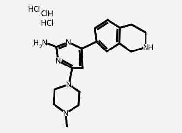 CN1CCN(c2cc(-c3ccc4c(c3)CNCC4)nc(N)n2)CC1.Cl.Cl.Cl